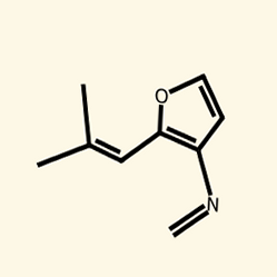 C=Nc1ccoc1C=C(C)C